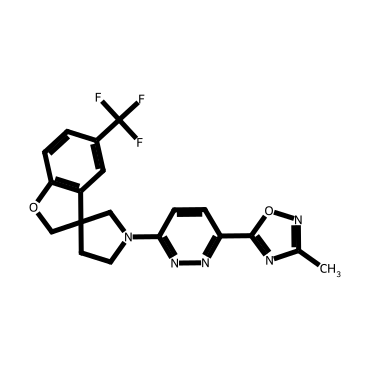 Cc1noc(-c2ccc(N3CCC4(COc5ccc(C(F)(F)F)cc54)C3)nn2)n1